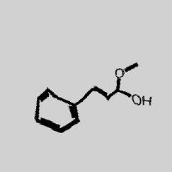 COC(O)/C=C/c1ccccc1